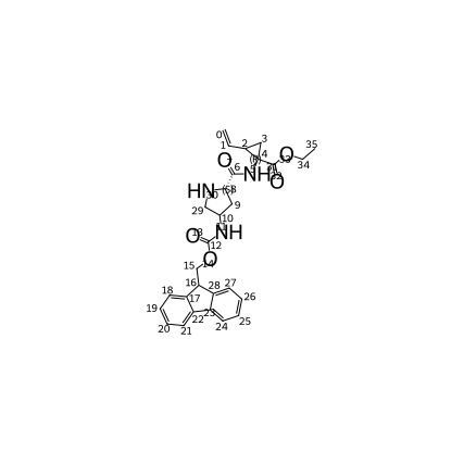 C=CC1C[C@]1(NC(=O)[C@@H]1CC(NC(=O)OCC2c3ccccc3-c3ccccc32)CN1)C(=O)OCC